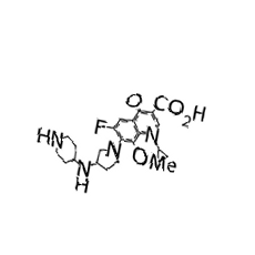 COc1c(N2CC[C@@H](NC3CCNCC3)C2)c(F)cc2c(=O)c(C(=O)O)cn(C3CC3)c12